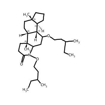 CCC(C)CCOC1CC2N(OCCC(C)CC)C(=O)CC[C@]2(C)[C@@H]2CC[C@]3(C)CCC[C@H]3[C@H]12